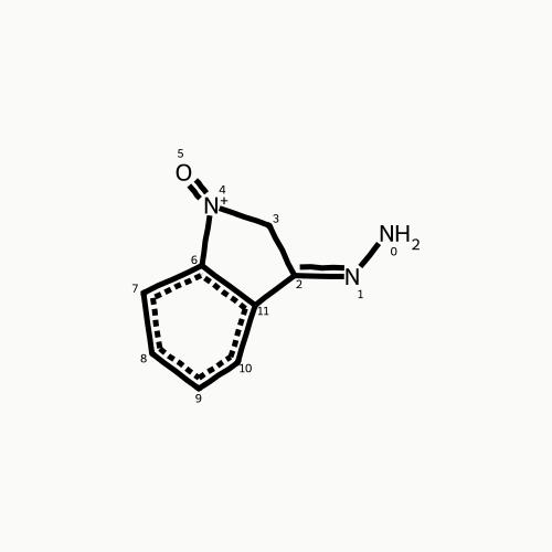 NN=C1C[N+](=O)c2ccccc21